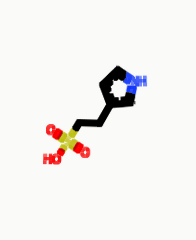 O=S(=O)(O)CCc1[c][nH][c]c1